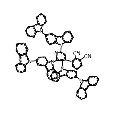 N#Cc1cccc(-c2cc(-n3c4ccccc4c4cc(-n5c6ccccc6c6ccccc65)ccc43)nc(-n3c4ccccc4c4cc(-n5c6ccccc6c6ccccc65)ccc43)c2-n2c3ccccc3c3cc(-n4c5ccccc5c5ccccc54)ccc32)c1C#N